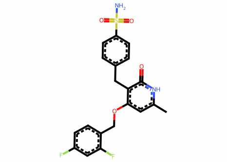 Cc1cc(OCc2ccc(F)cc2F)c(Cc2ccc(S(N)(=O)=O)cc2)c(=O)[nH]1